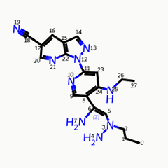 CCCN(N)/C=C(\N)c1cnc(-n2ncc3cc(C#N)cnc32)cc1NCC